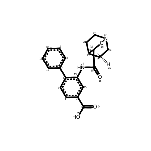 O=C(O)c1ccc(-c2ccccc2)c(NC(=O)[C@@H]2CN3CCC2CC3)c1